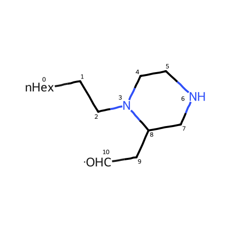 CCCCCCCCN1CCNCC1C[C]=O